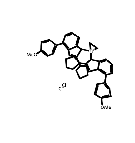 COc1ccc(-c2cccc3c2C=C(C2CCCC2)[CH]3[Ti+2]2([CH]3C(C4CCCC4)=Cc4c(-c5ccc(OC)cc5)cccc43)[CH2][CH2]2)cc1.[Cl-].[Cl-]